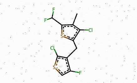 Cc1c(C(F)F)sc(Cc2c(F)csc2Cl)c1Cl